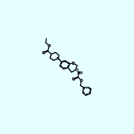 CCOC(=O)C1CCN(c2ccc3c(c2)OC[C@H](NC(=O)OCc2ccccc2)C3)CC1